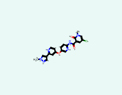 CC(C)n1cc(Cl)cc(C(=O)Nc2ccc(Oc3ccnc(-c4cnn(C)c4)c3)cn2)c1=O